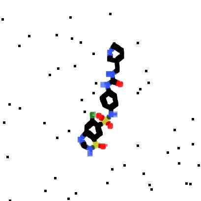 O=C(NCc1cccnc1)Nc1ccc(NS(=O)(=O)c2cc3c(cc2Cl)N=CN[S+]3[O-])cc1